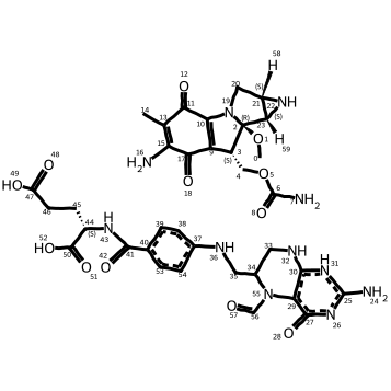 CO[C@@]12[C@H](COC(N)=O)C3=C(C(=O)C(C)=C(N)C3=O)N1C[C@@H]1N[C@@H]12.Nc1nc(=O)c2c([nH]1)NCC(CNc1ccc(C(=O)N[C@@H](CCC(=O)O)C(=O)O)cc1)N2C=O